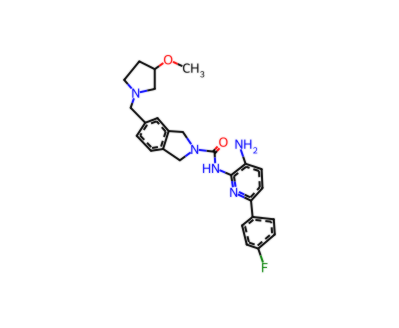 COC1CCN(Cc2ccc3c(c2)CN(C(=O)Nc2nc(-c4ccc(F)cc4)ccc2N)C3)C1